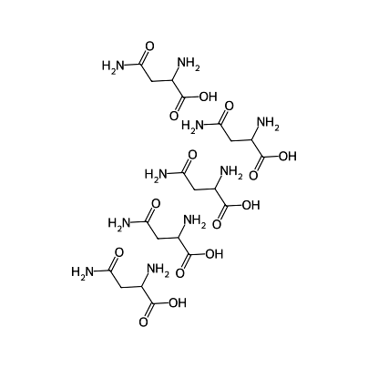 NC(=O)CC(N)C(=O)O.NC(=O)CC(N)C(=O)O.NC(=O)CC(N)C(=O)O.NC(=O)CC(N)C(=O)O.NC(=O)CC(N)C(=O)O